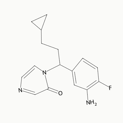 Nc1cc(C(CCC2CC2)n2ccncc2=O)ccc1F